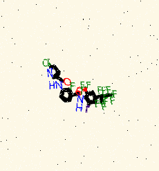 O=C(Nc1cccc(C(=O)Nc2c(I)cc(C(F)(C(F)(F)F)C(F)(F)C(F)(F)F)cc2C(F)(F)F)c1F)c1ccc(Cl)nc1